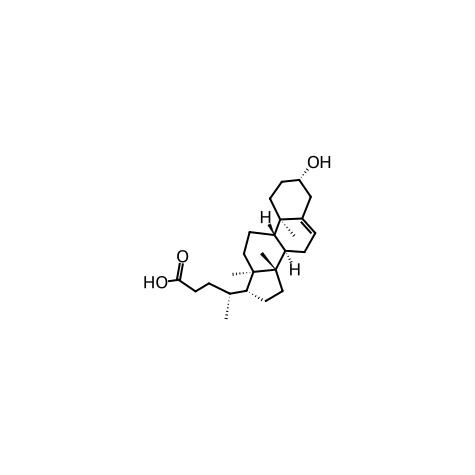 C[C@H](CCC(=O)O)[C@H]1CC[C@@]2(C)[C@@H]3CC=C4C[C@@H](O)CC[C@]4(C)[C@H]3CC[C@]12C